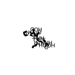 C=CCO/N=C(\C(=O)NC1C(=O)N2C(C(=O)O)=C(C[n+]3ccccc3)CS[C@H]12)c1nsc(NP(=O)(O)O)n1